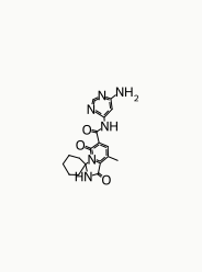 Cc1cc(C(=O)Nc2cc(N)ncn2)c(=O)n2c1C(=O)NC21CCCCC1